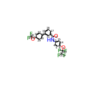 O=C(Nc1ccc(OC(F)(F)C(F)F)cc1)c1cc[c]c(-c2ccc(OC(F)F)cc2)c1